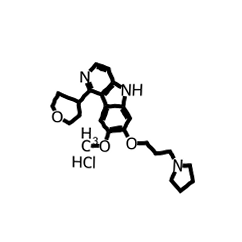 COc1cc2c(cc1OCCCN1CCCC1)[nH]c1ccnc(C3CCOCC3)c12.Cl